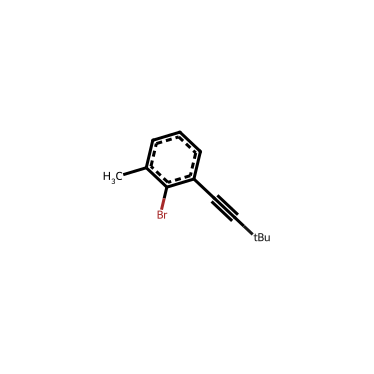 Cc1cccc(C#CC(C)(C)C)c1Br